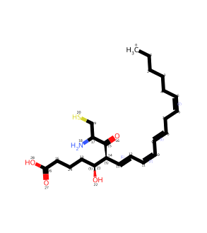 CCCCC/C=C\C/C=C/C=C\C=C\[C@H](C(=O)C(N)CS)[C@@H](O)CCCC(=O)O